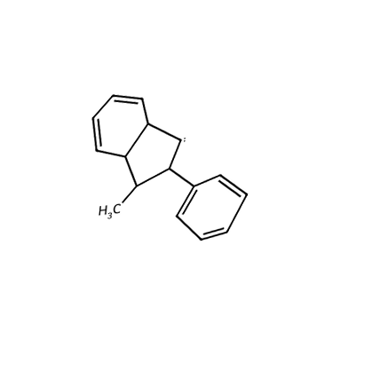 CC1C(c2ccccc2)[C]C2C=CC=CC21